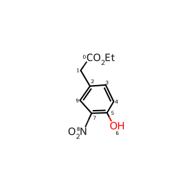 CCOC(=O)Cc1ccc(O)c([N+](=O)[O-])c1